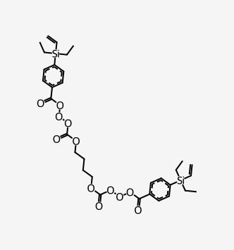 C=C[Si](CC)(CC)c1ccc(C(=O)OOOC(=O)OCCCCOC(=O)OOOC(=O)c2ccc([Si](C=C)(CC)CC)cc2)cc1